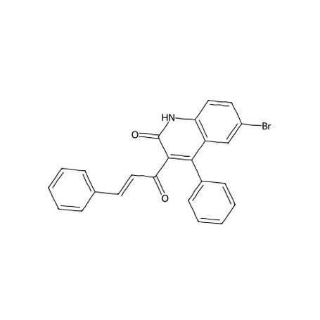 O=C(C=Cc1ccccc1)c1c(-c2ccccc2)c2cc(Br)ccc2[nH]c1=O